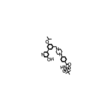 CC(C)Oc1cc(CN2CCN(c3ccc(C(=O)NS(=O)(=O)C(C)(C)C)cc3)CC2)cc(-c2cncc(O)c2)c1